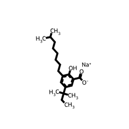 CCC(C)(C)c1cc(CCCCCCC(C)C)c(O)c(C(=O)[O-])c1.[Na+]